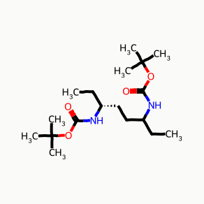 CCC(CC[C@@H](CC)NC(=O)OC(C)(C)C)NC(=O)OC(C)(C)C